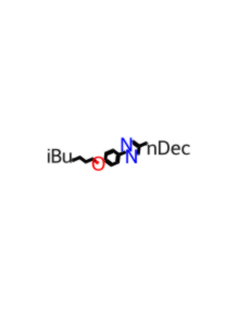 CCCCCCCCCCCc1cnc(-c2ccc(OCCCCC(C)CC)cc2)nc1